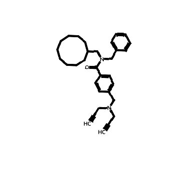 C#CCN(CC#C)Cc1ccc(C(=O)N(Cc2ccccc2)CC2CCCCCCCCC2)cc1